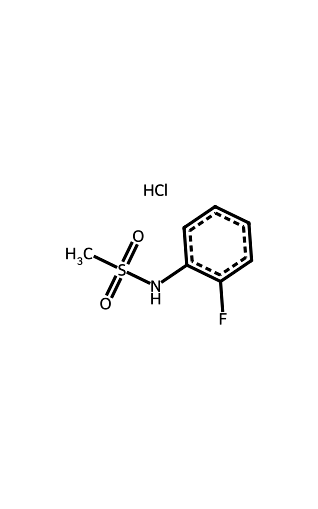 CS(=O)(=O)Nc1ccccc1F.Cl